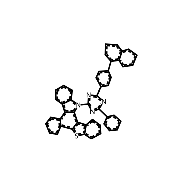 c1ccc(-c2nc(-c3ccc(-c4cccc5ccccc45)cc3)nc(-n3c4ccccc4c4c5ccccc5c5sc6ccccc6c5c43)n2)cc1